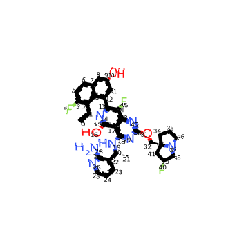 C=Cc1c(F)ccc2cc(O)cc(-c3nc(O)c4c(N[C@H](C)c5cccnc5N)nc(OC[C@@]56CCCN5C[C@H](F)C6)nc4c3F)c12